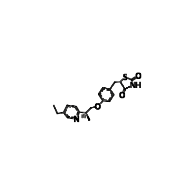 CCc1ccc([C@H](C)COc2ccc(CC3SC(=O)NC3=O)cc2)nc1